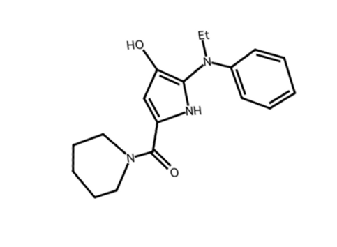 CCN(c1ccccc1)c1[nH]c(C(=O)N2CCCCC2)cc1O